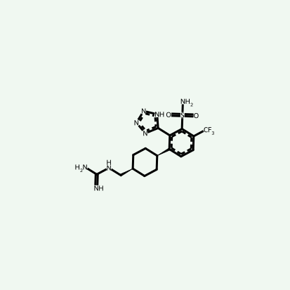 N=C(N)NC[C@H]1CC[C@@H](c2ccc(C(F)(F)F)c(S(N)(=O)=O)c2-c2nnn[nH]2)CC1